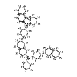 c1ccc(N(c2ccc(-c3ccc4ccccc4c3)cc2)c2ccc3ccc(-c4ccc(-n5c6ccccc6c6c7ccccc7ccc65)cc4)cc3c2)cc1